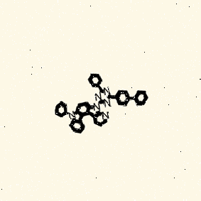 c1ccc(-c2ccc(-c3nc(-c4ccccc4)nc(-n4c5ccc6c(c7ccccc7n6-c6ccccc6)c5c5cccnc54)n3)cc2)cc1